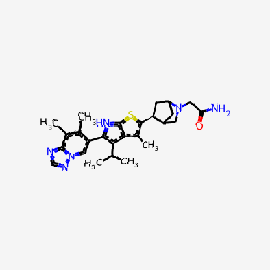 Cc1c(-c2[nH]c3sc([C@H]4CC5CC4CN5CC(N)=O)c(C)c3c2C(C)C)cn2ncnc2c1C